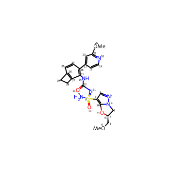 COC[C@@H]1Cn2ncc(S(N)(=O)=NC(=O)Nc3c(-c4ccnc(OC)c4)ccc4c3CC4)c2O1